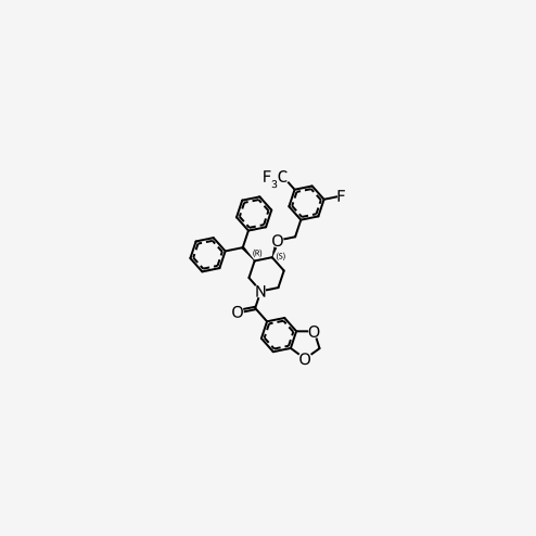 O=C(c1ccc2c(c1)OCO2)N1CC[C@H](OCc2cc(F)cc(C(F)(F)F)c2)[C@H](C(c2ccccc2)c2ccccc2)C1